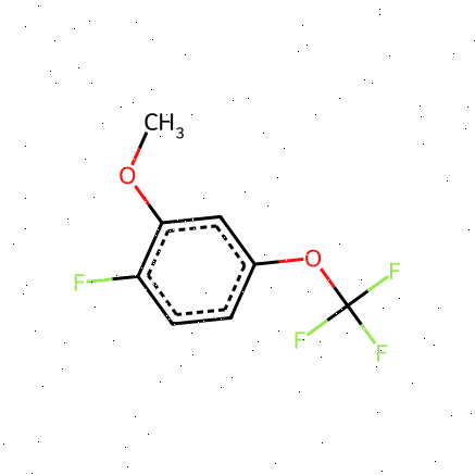 COc1cc(OC(F)(F)F)ccc1F